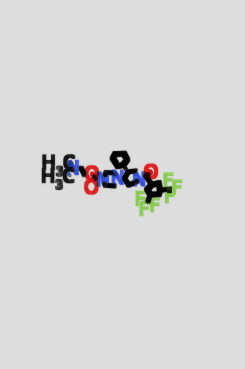 CN(C)CCOC(=O)N1CCN([C@@H]2CCN(C(=O)c3cc(C(F)(F)F)cc(C(F)(F)F)c3)C[C@@H]2c2ccccc2)CC1